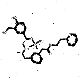 C[C@H](Cc1cccc(CC(=O)NCCc2ccccn2)c1)NC[C@@H](O[Si](C)(C)C(C)(C)C)c1ccc(O)c(CO)c1